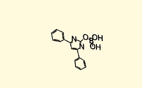 OB(O)Oc1nc(-c2ccccc2)cc(-c2ccccc2)n1